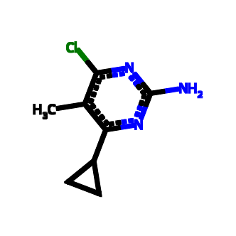 Cc1c(Cl)nc(N)nc1C1CC1